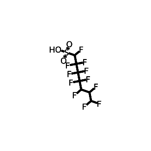 O=S(=O)(O)C(F)C(F)(F)C(F)(F)C(F)(F)C(F)C(F)C(F)F